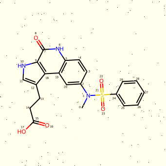 CN(c1ccc2[nH]c(=O)c3[nH]cc(CCC(=O)O)c3c2c1)S(=O)(=O)c1ccccc1